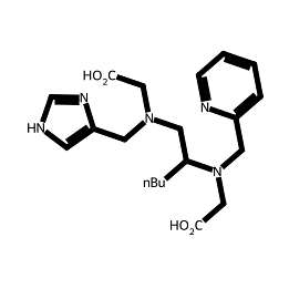 CCCCC(CN(CC(=O)O)Cc1c[nH]cn1)N(CC(=O)O)Cc1ccccn1